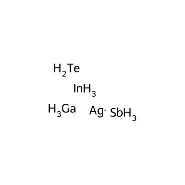 [Ag].[GaH3].[InH3].[SbH3].[TeH2]